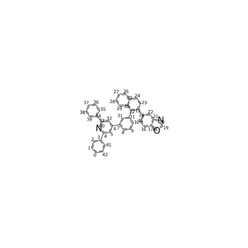 c1ccc(-c2cc(-c3cccc(-c4c(-c5ccc6ocnc6c5)ccc5ccccc45)c3)cc(-c3ccccc3)n2)cc1